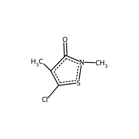 Cc1c(Cl)sn(C)c1=O